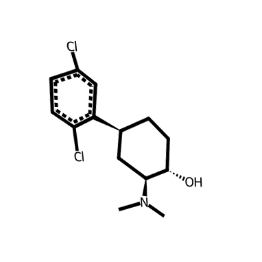 CN(C)[C@H]1C[C@@H](c2cc(Cl)ccc2Cl)CC[C@@H]1O